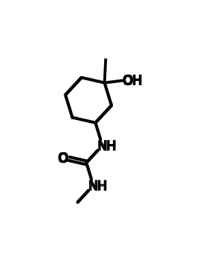 CNC(=O)NC1CCCC(C)(O)C1